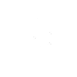 O=Cc1nnc(Br)[nH]1